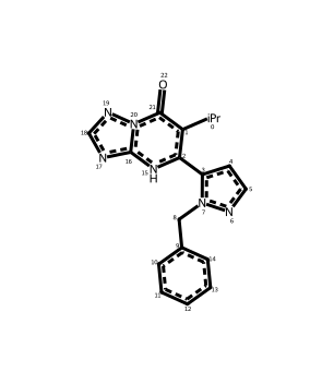 CC(C)c1c(-c2ccnn2Cc2ccccc2)[nH]c2ncnn2c1=O